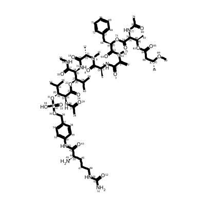 C=C(C(=O)N[C@@H](C)C(=O)N(C)[C@@H](C)C(=O)N[C@H](C(=O)NC)[C@H](OC(=O)[C@@H](NC(C)=O)[C@H](OP(=O)(O)OCc1ccc(NC(=O)[C@@H](N)CCCNC(N)=O)cc1)C(C)C)C(C)C)N(C)C(=O)[C@@H](Cc1ccccc1)OC(=O)[C@@H](NC(C)=O)[C@@H](C)OC(=O)C[C@@H](C)OC